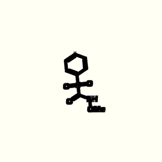 CONC(=O)S(=O)(=O)c1cc[c]cc1